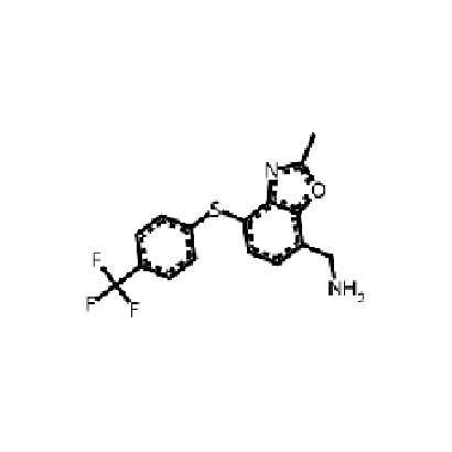 Cc1nc2c(Sc3ccc(C(F)(F)F)cc3)ccc(CN)c2o1